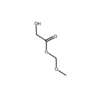 COCOC(=O)CO